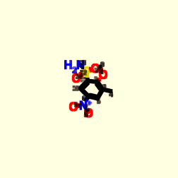 COc1c(C)cc([N+](=O)[O-])cc1S(N)(=O)=O